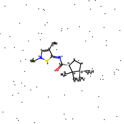 CCCCc1cn(C(C)(C)C)s/c1=N\C(=O)[C@@H]1CC[C@](C)(C(=O)O)C1(C)C